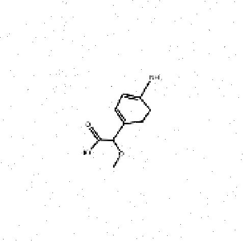 COC(C(=O)O)C1=CC=C(N)CC1